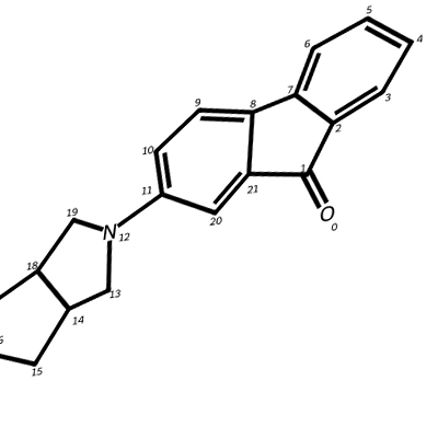 O=C1c2ccccc2-c2ccc(N3CC4CNCC4C3)cc21